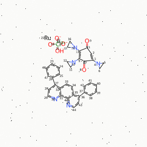 O=C1C=C(N2CC2)C(=O)C(N2CC2)=C1N1CC1.[O-][Cl+3]([O-])([O-])O.[Ru].c1ccc(-c2ccnc3c2ccc2c(-c4ccccc4)ccnc23)cc1